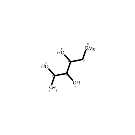 [CH2]C(O)C(O)C(O)COC